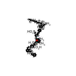 Cc1c(-c2ccc(N3CCc4cccc(C(=O)Nc5nc6ccccc6s5)c4C3)nc2C(=O)O)cnn1CC12CC3(C)CC(C)(C1)CC(OCCN(CCS(=O)(=O)O)C(=O)OCc1ccc(N(C(N)=O)C(=O)[C@H](CCCN)NC(=O)[C@@H](NC(=O)CCCCCNC(=O)CI)C(C)C)cc1)(C3)C2